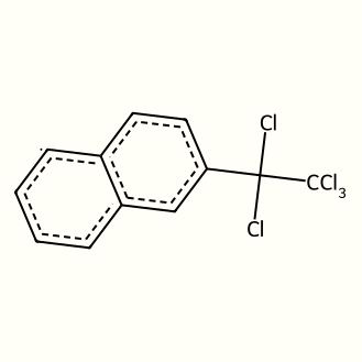 ClC(Cl)(Cl)C(Cl)(Cl)c1ccc2[c]cccc2c1